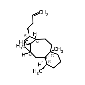 C=CCC[C@@H]1CC[C@H]2C[C@@H]3[C@H](C)CCC[C@@]3(C)CC[C@@H]1C2(C)C